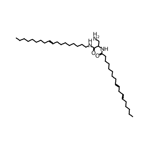 CCCCCC=CCC=CCCCCCCCC(=O)NC(CN)C(=O)NCCCCCCCCC=CCCCCCCCC